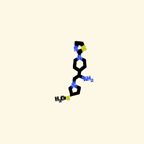 CS[C@H]1CCN(CC(N)C2CCN(c3nccs3)CC2)C1